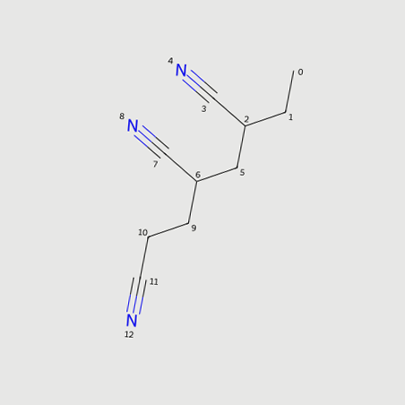 CCC(C#N)CC(C#N)CCC#N